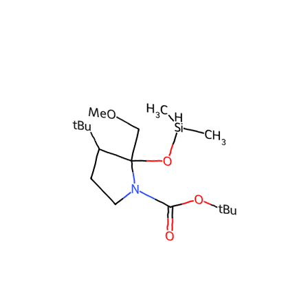 COCC1(O[SiH](C)C)C(C(C)(C)C)CCN1C(=O)OC(C)(C)C